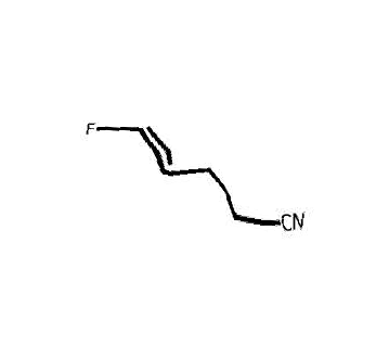 N#CCCC=CF